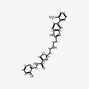 Cc1ccccc1-c1ccc2[nH]c(CCNCCc3nc(C(=O)NCc4ncccc4F)co3)nc2c1